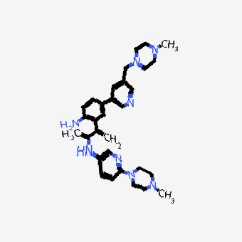 C=C(Nc1ccc(N2CCN(C)CC2)nc1)C(=C)c1cc(-c2cncc(CN3CCN(C)CC3)c2)ccc1N